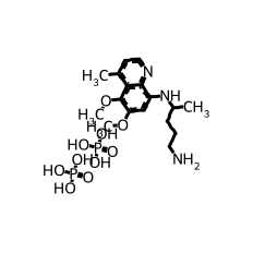 COc1cc(NC(C)CCCN)c2nccc(C)c2c1OC.O=P(O)(O)O.O=P(O)(O)O